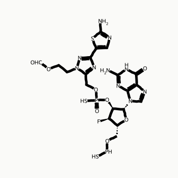 Nc1nc2c(ncn2[C@@H]2O[C@H](COPS)[C@@H](F)[C@H]2OP(=O)(S)OCc2nc(-c3cnc(N)s3)nn2CCOC=O)c(=O)[nH]1